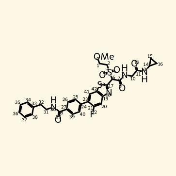 COCCS(=O)(=O)C(C(=O)NCC(=O)NC1CC1)c1nc2cc(F)c(-c3ccc(C(=O)NCCc4ccccc4)cc3)cc2s1